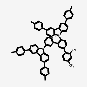 Cc1ccc(-c2ccc3c(c2)c2cc(-c4ccc(C)cc4)ccc2n3-c2ccc(C#N)c(-c3cc(-c4ccc(C(F)(F)F)cc4C#N)ccc3-n3c4ccc(-c5ccc(C)cc5)cc4c4cc(-c5ccc(C)cc5)ccc43)c2)cc1